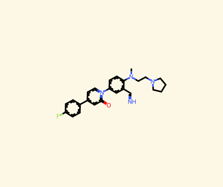 CN(CCN1CCCC1)c1ccc(-n2ccc(-c3ccc(F)cc3)cc2=O)cc1C=N